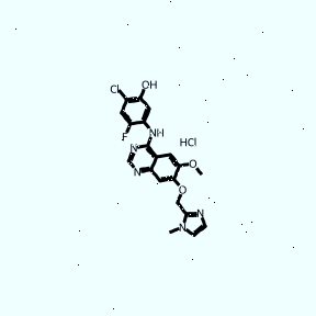 COc1cc2c(Nc3cc(O)c(Cl)cc3F)ncnc2cc1OCc1nccn1C.Cl